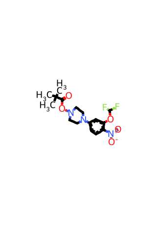 CC(C)(C)C(=O)ON1CCN(c2ccc([N+](=O)[O-])c(OC(F)F)c2)CC1